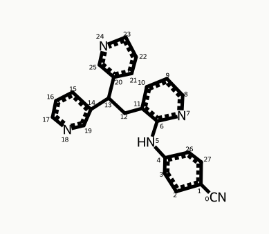 N#Cc1ccc(Nc2ncccc2CC(c2cccnc2)c2cccnc2)cc1